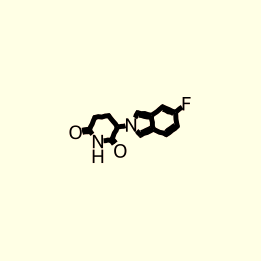 O=C1CCC(n2cc3ccc(F)cc3c2)C(=O)N1